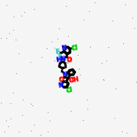 O=C(N[C@H]1CC[C@H](CN2C(=O)C(O)(c3cncc(Cl)c3)c3ccccc32)CC1)c1cc(Cl)cnc1C(F)F